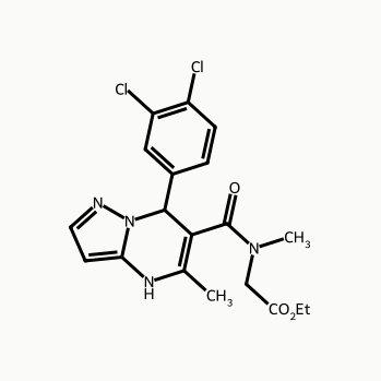 CCOC(=O)CN(C)C(=O)C1=C(C)Nc2ccnn2C1c1ccc(Cl)c(Cl)c1